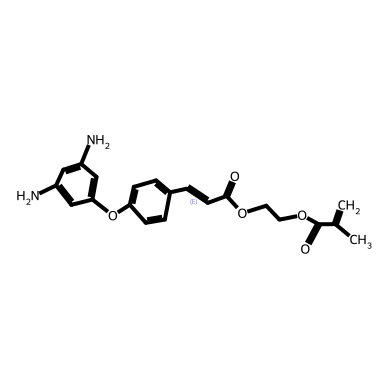 C=C(C)C(=O)OCCOC(=O)/C=C/c1ccc(Oc2cc(N)cc(N)c2)cc1